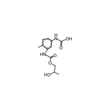 Cc1ccc(NC(=O)O)cc1NC(=O)OCC(C)O